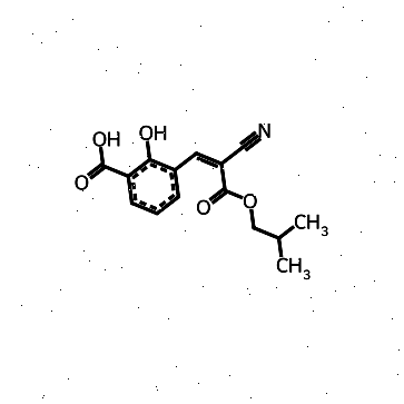 CC(C)COC(=O)C(C#N)=Cc1cccc(C(=O)O)c1O